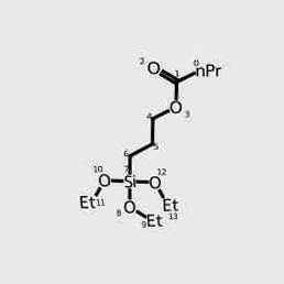 CCCC(=O)OCCC[Si](OCC)(OCC)OCC